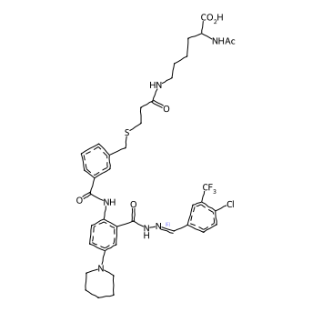 CC(=O)NC(CCCCNC(=O)CCSCc1cccc(C(=O)Nc2ccc(N3CCCCC3)cc2C(=O)N/N=C/c2ccc(Cl)c(C(F)(F)F)c2)c1)C(=O)O